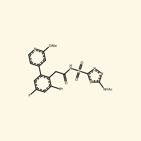 COc1cc(-c2cc(F)cc(C(C)C)c2CC(=O)NS(=O)(=O)c2nnc(NC(C)=O)s2)ccn1